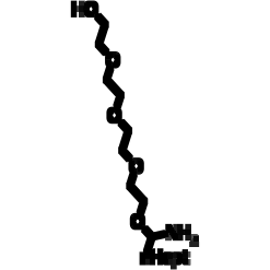 CCCCCCCC(N)OCCOCCOCCOCCO